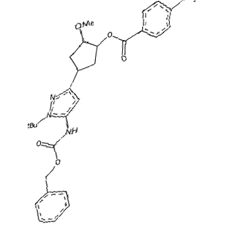 COC1CC(c2cc(NC(=O)OCc3ccccc3)n(C(C)(C)C)n2)CC1OC(=O)c1ccc([N+](=O)[O-])cc1